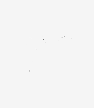 NC[C@H]1CCC[C@@H](Nc2ncc(Cl)c(-c3c[nH]c4ccccc34)n2)C1